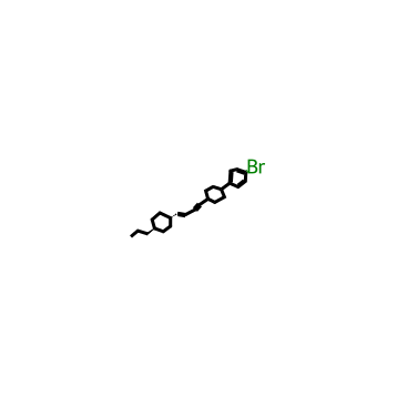 CCC[C@H]1CC[C@H](C=CC#CC2CCC(c3ccc(Br)cc3)CC2)CC1